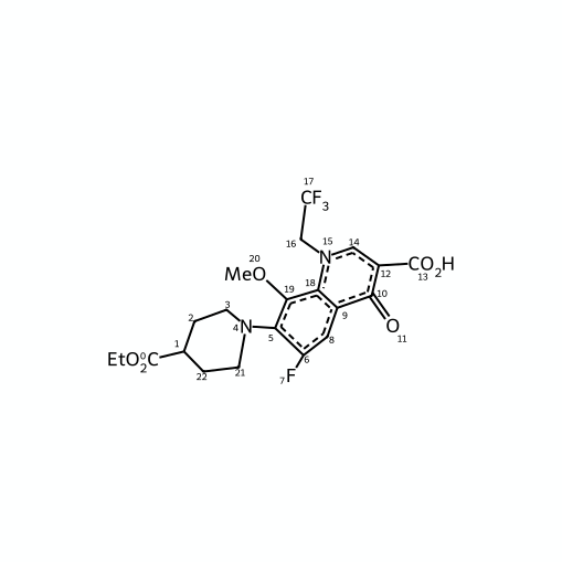 CCOC(=O)C1CCN(c2c(F)cc3c(=O)c(C(=O)O)cn(CC(F)(F)F)c3c2OC)CC1